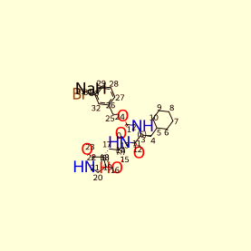 O=C(N[C@@H](CC1CCCCC1)C(=O)N[C@H](CO)C[C@@H]1CCNC1=O)OCc1cccc(Br)c1.[NaH]